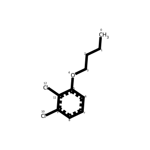 CCCCOc1cc[c]c(Cl)c1Cl